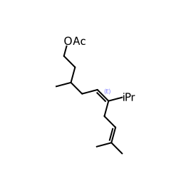 CC(=O)OCCC(C)C/C=C(\CC=C(C)C)C(C)C